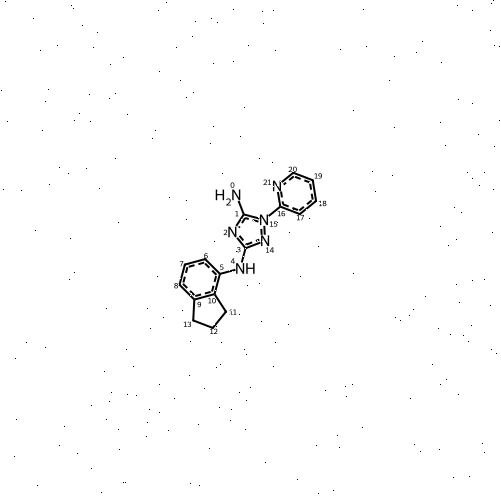 Nc1nc(Nc2cccc3c2CCC3)nn1-c1ccccn1